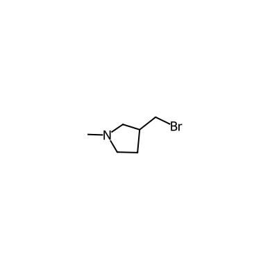 CN1CCC(CBr)C1